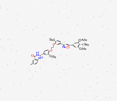 COc1cc(C2NC(=O)c3cc(C)ccc3N2)ccc1OCCOc1cc(-c2cc(-c3cc(OC)c(OC)c(OC)c3)on2)ccc1OC